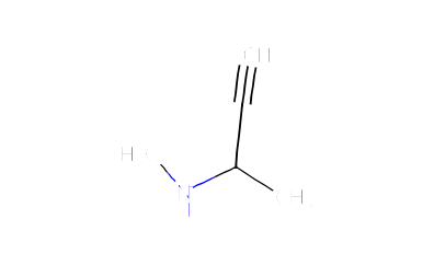 C#CC(C)NC